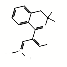 C/C=C(/C=[N+](C)C)C1=NC(C)(C)Cc2ccccc21